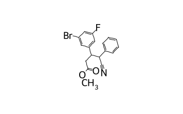 COC(=O)CC(c1cc(F)cc(Br)c1)C(C#N)c1ccccc1